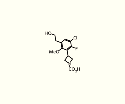 COc1c(CCO)cc(Cl)c(F)c1C1CN(C(=O)O)C1